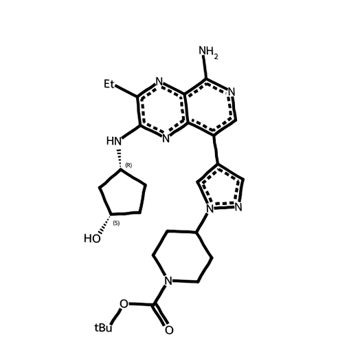 CCc1nc2c(N)ncc(-c3cnn(C4CCN(C(=O)OC(C)(C)C)CC4)c3)c2nc1N[C@@H]1CC[C@H](O)C1